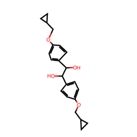 OC(c1ccc(OCC2CC2)cc1)C(O)c1ccc(OCC2CC2)cc1